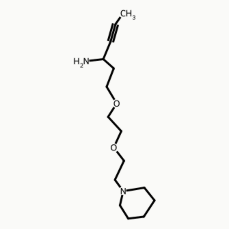 CC#CC(N)CCOCCOCCN1CCCCC1